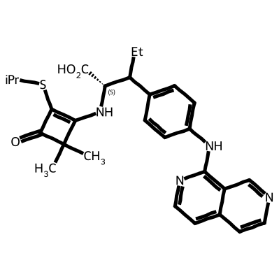 CCC(c1ccc(Nc2nccc3ccncc23)cc1)[C@H](NC1=C(SC(C)C)C(=O)C1(C)C)C(=O)O